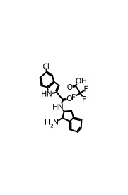 NC1c2ccccc2CC1NC(=O)c1cc2cc(Cl)ccc2[nH]1.O=C(O)C(F)(F)F